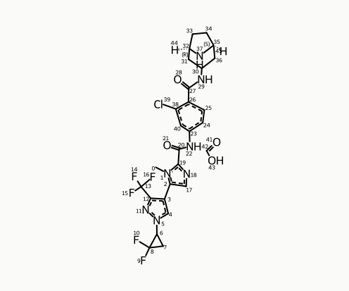 Cn1c(-c2cn(C3CC3(F)F)nc2C(F)(F)F)cnc1C(=O)Nc1ccc(C(=O)NC2C[C@H]3CC[C@@H](C2)N3)c(Cl)c1.O=CO